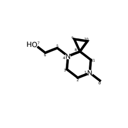 CN1CCN(CCO)C2(CC2)C1